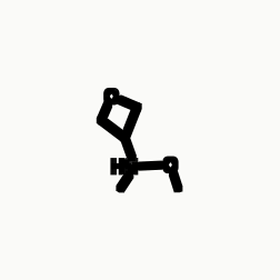 CO[SiH](C)C1COC1